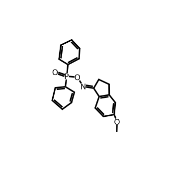 COc1ccc2c(c1)CCC2=NOP(=O)(c1ccccc1)c1ccccc1